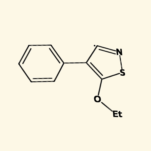 CCOc1sn[c]c1-c1ccccc1